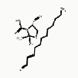 CC1(C)OC[C@@H](C=O)N1C(=O)O.CCCCCCCCCC=CC=O